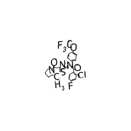 CC1CCCN1C(=O)c1csc(N(C(=O)c2ccc(F)cc2Cl)c2ccc(OC(F)(F)F)cc2)n1